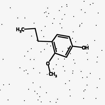 CCCc1ccc(O)cc1OC